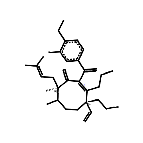 C=C[C@]1(CCC)CCC(C)[C@@](C)(CC=C(C)C)C(=C)/C(C(=C)c2ccc(CC)c(C)c2)=C\1CCC